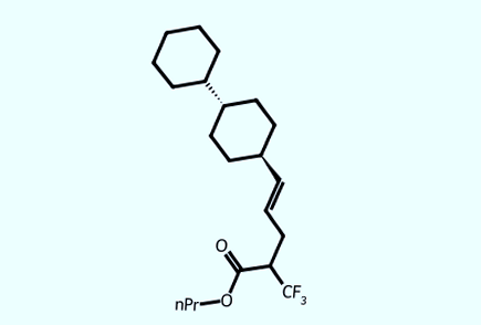 CCCOC(=O)C(CC=C[C@H]1CC[C@H](C2CCCCC2)CC1)C(F)(F)F